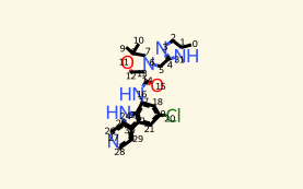 CC1CN=C(CN2CC(C)(C)OC[C@H]2C(=O)Nc2cc(Cl)cc3c2[nH]c2cnccc23)N1